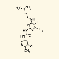 Cc1ccc(NC(=O)Nc2nc(C)c(F)c(NCCCN(C)C)n2)cc1Cl